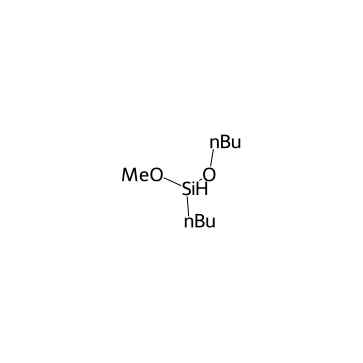 CCCCO[SiH](CCCC)OC